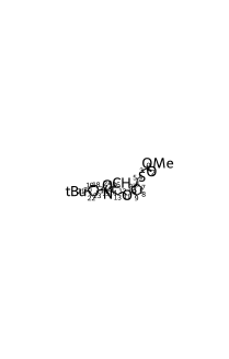 COC(=O)CSCc1cccc(OCCc2nc(-c3ccc(C(C)(C)C)cc3)oc2C)c1